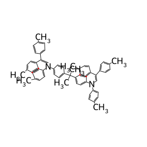 Cc1ccc(C(=CN(c2ccc(C)cc2)c2ccc(C(C)(C)c3ccc(N(C=C(c4ccc(C)cc4)c4ccc(C)cc4)c4ccc(C)cc4)cc3)cc2)c2ccc(C)cc2)cc1